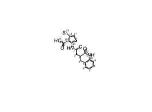 O=C(CC1Cc2ccccc2NC1=O)Nc1scc(Br)c1C(=O)O